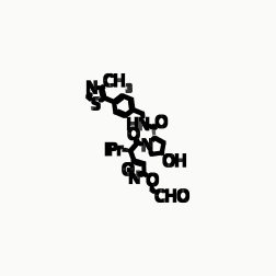 Cc1ncsc1-c1ccc(CNC(=O)[C@@H]2C[C@@H](O)CN2C(=O)[C@@H](c2cc(OCC=O)no2)C(C)C)cc1